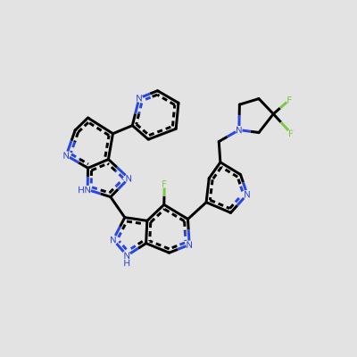 Fc1c(-c2cncc(CN3CCC(F)(F)C3)c2)ncc2[nH]nc(-c3nc4c(-c5ccccn5)ccnc4[nH]3)c12